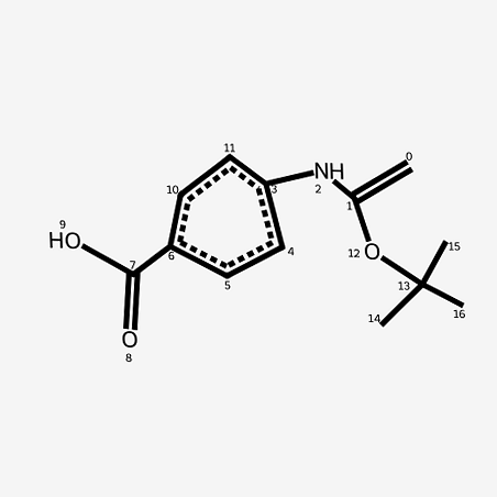 C=C(Nc1ccc(C(=O)O)cc1)OC(C)(C)C